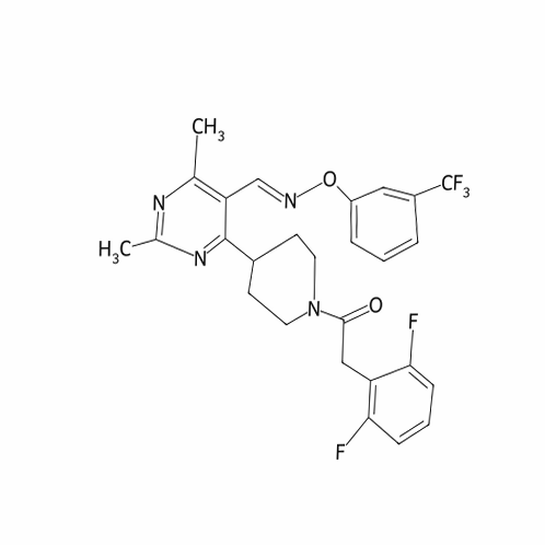 Cc1nc(C)c(/C=N/Oc2cccc(C(F)(F)F)c2)c(C2CCN(C(=O)Cc3c(F)cccc3F)CC2)n1